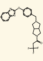 O=C(CC(F)(F)F)N1CC2CN(Cc3ccc(Oc4nc5ccccc5s4)cc3)CC2C1